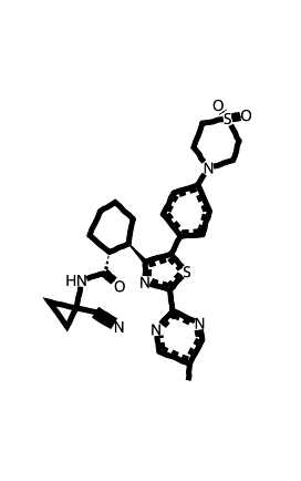 Cc1cnc(-c2nc([C@@H]3CCCC[C@H]3C(=O)NC3(C#N)CC3)c(-c3ccc(N4CCS(=O)(=O)CC4)cc3)s2)nc1